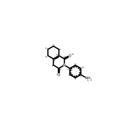 Nc1ccc(N2C(=O)CC3=C(CCCC3)C2=O)cc1